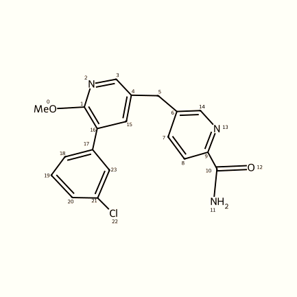 COc1ncc(Cc2ccc(C(N)=O)nc2)cc1-c1cccc(Cl)c1